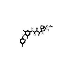 CO[C@@H]1C[C@H](C(=O)NC(=O)Nc2cc(C)c(Oc3ccc(F)cn3)c(F)c2)C2CC1C2